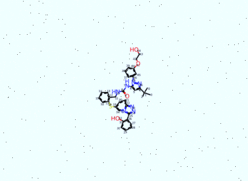 CC(C)(C)c1cc(NC(=O)NCc2ccccc2Sc2ccc3nnc(-c4ccccc4O)n3c2)n(-c2cccc(OCCO)c2)n1